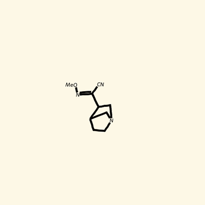 CON=C(C#N)C1CN2CCC1C2